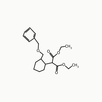 CCOC(=O)C(C(=O)OCC)C1CCCCC1COCc1ccccc1